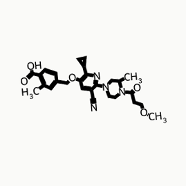 COCCC(=O)N1CCN(c2nc(C3CC3)c(OCc3ccc(C(=O)O)c(C)c3)cc2C#N)CC1C